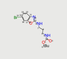 CC(C)(C)OC(=O)NCCCNc1nc2ccc(Br)cc2o1